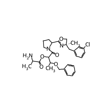 CC(N)C(=O)OC(C(=O)N1CCCC1C1=N[C@](C)(Cc2cccc(Cl)c2)CO1)C(C)OCc1ccccc1